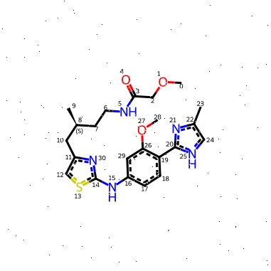 COCC(=O)NCC[C@H](C)Cc1csc(Nc2ccc(-c3nc(C)c[nH]3)c(OC)c2)n1